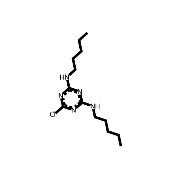 CCCCCNc1nc(Cl)nc(NCCCCC)n1